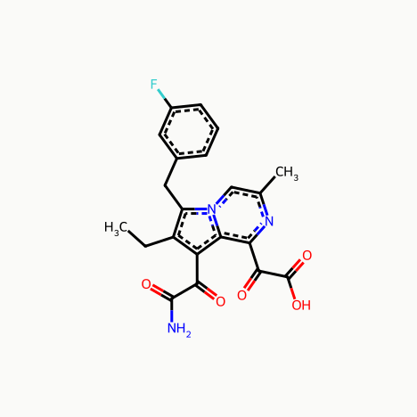 CCc1c(C(=O)C(N)=O)c2c(C(=O)C(=O)O)nc(C)cn2c1Cc1cccc(F)c1